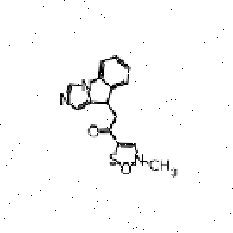 CN1C=C(C(=O)CC2c3ccccc3-n3cncc32)SO1